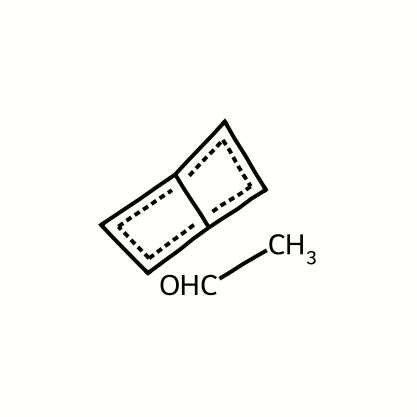 CC=O.c1cc2ccc1-2